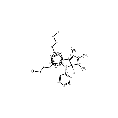 CCCCc1cc(CCCC)cc(C2=C(C)C(C)=C(C)C2(C)[SiH](c2ccccc2)c2ccccc2)c1